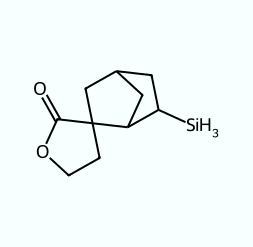 O=C1OCCC12CC1CC([SiH3])C2C1